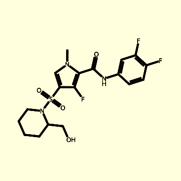 Cn1cc(S(=O)(=O)N2CCCCC2CO)c(F)c1C(=O)Nc1ccc(F)c(F)c1